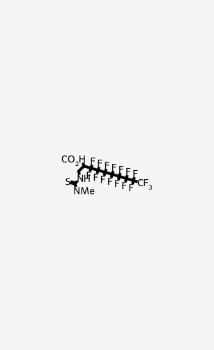 CNC(=S)NCC(C(=O)O)C(F)(F)C(F)(F)C(F)(F)C(F)(F)C(F)(F)C(F)(F)C(F)(F)C(F)(F)F